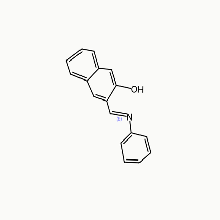 Oc1cc2ccccc2cc1/C=N/c1ccccc1